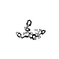 Nc1ccccc1NC(=O)c1ccc(CN(CCCN2CCOCC2)C(=O)Nc2ccc(N3CCCCC3)nc2)cn1